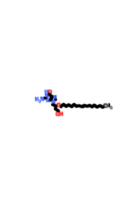 CCCCCCCCC=CCCCCCCCCOC(CCO)Cn1cnc2c(=O)[nH]c(N)nc21